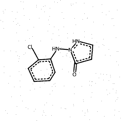 O=c1cc[nH]n1Nc1ccccc1Cl